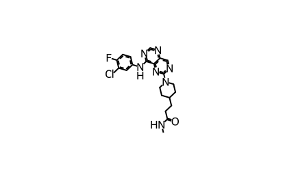 CNC(=O)CCC1CCN(c2ncc3ncnc(Nc4ccc(F)c(Cl)c4)c3n2)CC1